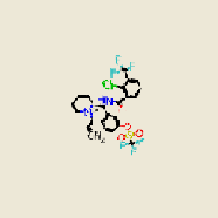 C=CCN1CCCC[C@H]1[C@@H](NC(=O)c1cccc(C(F)(F)F)c1Cl)c1cccc(OS(=O)(=O)C(F)(F)F)c1